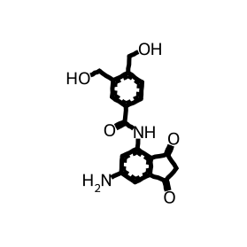 Nc1cc(NC(=O)c2ccc(CO)c(CO)c2)c2c(c1)C(=O)CC2=O